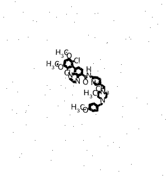 COc1ccc(CN2CCN(Cc3ccc(NC(=O)c4ccc(-c5c(Cl)c(OC)cc(OC)c5Cl)c5nccnc45)nc3)C(C)(C)C2)cc1